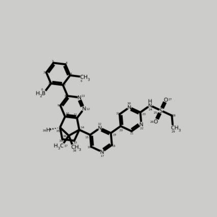 Bc1cccc(C)c1-c1cc2c(nn1)C1(c3cncc(-c4cnc(NS(=O)(=O)CC)nc4)n3)CC[C@@H]2C1(C)C